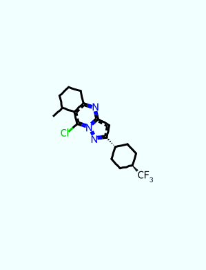 CC1CCCc2nc3cc([C@H]4CC[C@H](C(F)(F)F)CC4)nn3c(Cl)c21